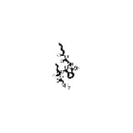 CCCCC(Cl)OC(=O)CN.CCCCC(Cl)OC(=O)CN.O=C(O)c1ccccc1C(=O)O